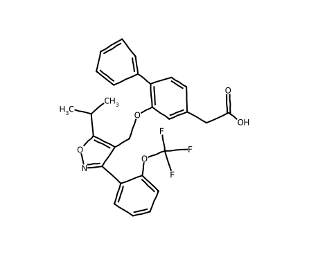 CC(C)c1onc(-c2ccccc2OC(F)(F)F)c1COc1cc(CC(=O)O)ccc1-c1ccccc1